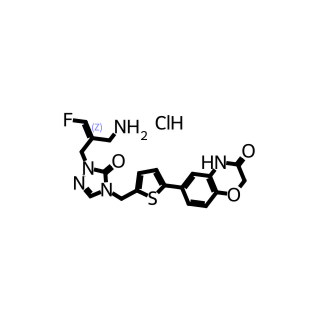 Cl.NC/C(=C/F)Cn1ncn(Cc2ccc(-c3ccc4c(c3)NC(=O)CO4)s2)c1=O